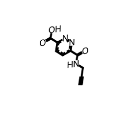 C#CCNC(=O)c1ccc(C(=O)O)nn1